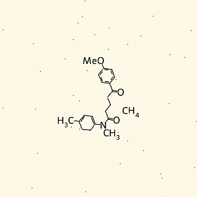 C.COc1ccc(C(=O)CCCC(=O)N(C)C2=CC=C(C)CC2)cc1